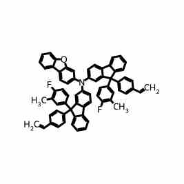 C=Cc1ccc(C2(c3ccc(F)c(C)c3)c3ccccc3-c3ccc(N(c4ccc5c(c4)C(c4ccc(C=C)cc4)(c4ccc(F)c(C)c4)c4ccccc4-5)c4ccc5c(c4)oc4ccccc45)cc32)cc1